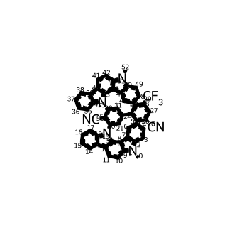 Cn1c2ccccc2c2c1ccc1c3ccccc3n(-c3cc(-c4cc(C#N)cc(C(F)(F)F)c4)cc(-n4c5ccccc5c5ccc6c(c7ccccc7n6C)c54)c3C#N)c12